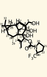 CC1=C[C@]23C(O)[C@@H](C=C(CO)[C@@H](O)[C@]2(O)[C@H]1OC(=O)N1CCCC1C(F)(F)F)[C@H]1[C@@H](C[C@H]3C)C1(C)C